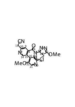 COc1nnc(NC(=O)c2cc(CC#N)ncc2-c2cc(Cl)ncc2OC)s1